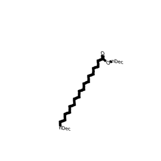 CCCCCCCCCCCCCCCCCCCCCCCCCCCC(=O)OCCCCCCCCCC